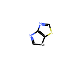 c1nc2nc[se]c2s1